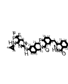 O=C(c1cc(Cc2n[nH]c(=O)c3ccccc23)ccc1F)N1CCc2cc(Nc3ncc(C(F)(F)F)c(NC4CC4)n3)ccc2C1